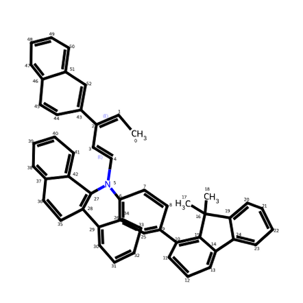 C/C=C(\C=C\N(c1ccc(-c2cccc3c2C(C)(C)c2ccccc2-3)cc1)c1c(-c2ccccc2)ccc2ccccc12)c1ccc2ccccc2c1